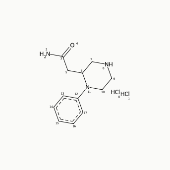 Cl.Cl.NC(=O)CC1CNCCN1c1ccccc1